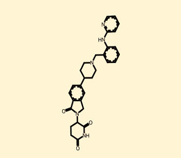 O=C1CCC(N2Cc3cc(C4CCN(Cc5ccccc5Nc5ccccn5)CC4)ccc3C2=O)C(=O)N1